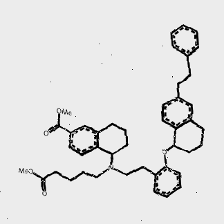 COC(=O)CCCCN(CCc1ccccc1OC1CCCc2cc(CCc3ccccc3)ccc21)C1CCCc2cc(C(=O)OC)ccc21